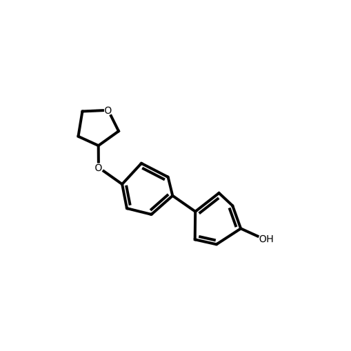 Oc1ccc(-c2ccc(OC3CCOC3)cc2)cc1